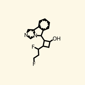 OC1CC(C(F)CCF)C1C1c2ccccc2-c2cncn21